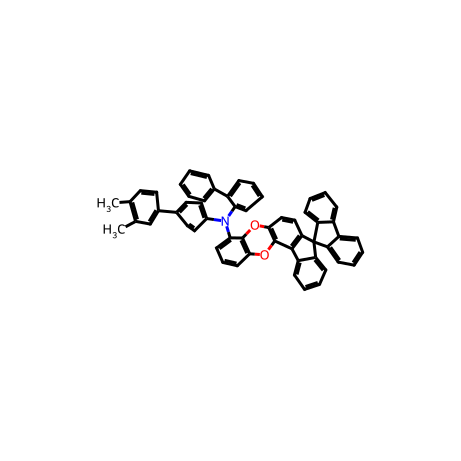 Cc1ccc(-c2ccc(N(c3ccccc3-c3ccccc3)c3cccc4c3Oc3ccc5c(c3O4)-c3ccccc3C53c4ccccc4-c4ccccc43)cc2)cc1C